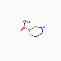 O=[C]C(=O)C1CNCCS1